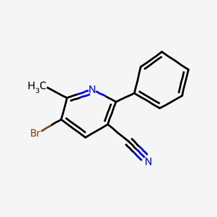 Cc1nc(-c2ccccc2)c(C#N)cc1Br